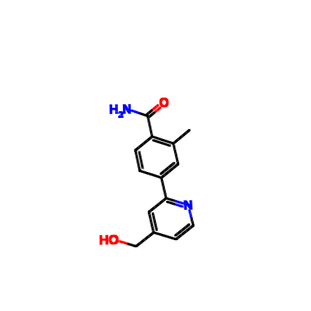 Cc1cc(-c2cc(CO)ccn2)ccc1C(N)=O